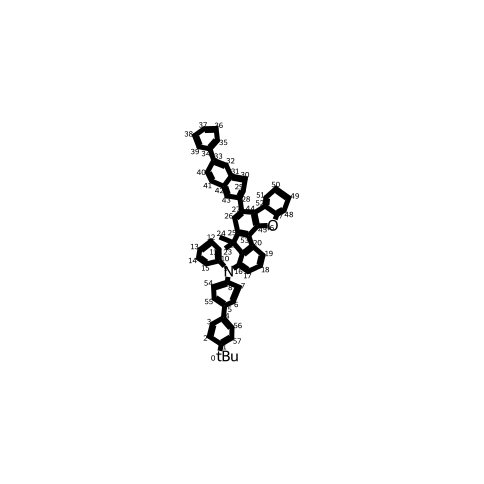 CC(C)(C)c1ccc(-c2ccc(N(c3ccccc3)c3cccc4c3C(C)(C)c3cc(-c5ccc6cc(-c7ccccc7)ccc6c5)c5c(oc6ccccc65)c3-4)cc2)cc1